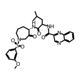 COc1cccc(S(=O)(=O)N2CCC[C@H](NC(=O)C(CC(C)C)NC(=O)c3cnc4ccccc4n3)C(=O)C2)c1